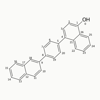 Oc1ccc(-c2ccc(-c3ccc4ccccc4c3)cc2)c2ccccc12